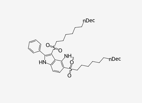 CCCCCCCCCCCCCCCCS(=O)(=O)c1ccc2[nH]c(-c3ccccc3)c(S(=O)(=O)CCCCCCCCCCCCCCCC)c2c1N